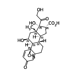 C[C@]12C=CC(=O)C=C1CC[C@@H]1[C@@H]2[C@@H](O)C[C@@]2(C)[C@H]1C[C@@H](C(=O)O)[C@]2(O)C(=O)CO